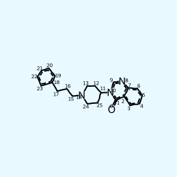 O=c1c2ccccc2ncn1C1CCN(CCCc2ccccc2)CC1